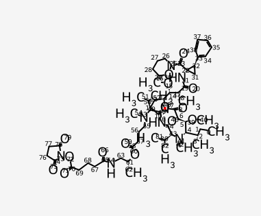 CC[C@H](C)[C@@H]([C@@H](CC(=O)N1CCC[C@H]1[C@H](OC)[C@@H](C)C(=O)N[C@@]1(C(=O)N2CCCCO2)C[C@@H]1c1ccccc1)OC)N(C)[C@H](C(=O)NC(=O)[C@H](C(C)C)N(C)CCCC(=O)O[C@H](C)CNC(=O)CCCC(=O)ON1C(=O)CCC1=O)C(C)C